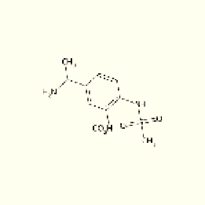 CC(N)c1ccc(NS(C)(=O)=O)c(C(=O)O)c1